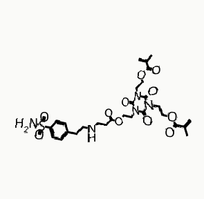 C=C(C)C(=O)OCCn1c(=O)n(CCOC(=O)CCNCCc2ccc(S(N)(=O)=O)cc2)c(=O)n(CCOC(=O)C(=C)C)c1=O